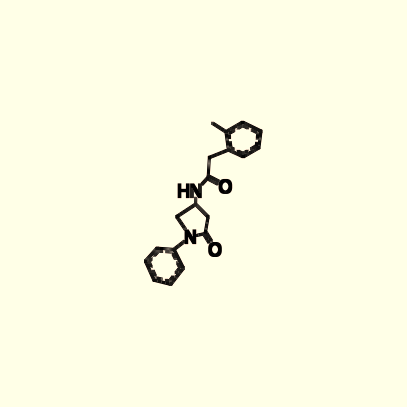 Cc1ccccc1CC(=O)NC1CC(=O)N(c2ccccc2)C1